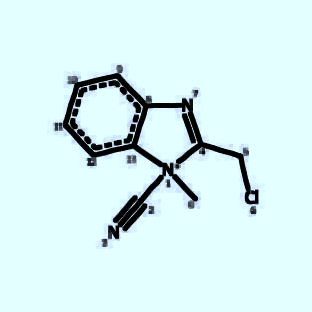 C[N+]1(C#N)C(CCl)=Nc2ccccc21